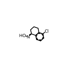 ON=C1CCCc2c(Cl)cccc21